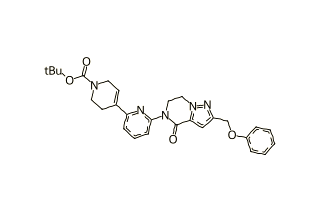 CC(C)(C)OC(=O)N1CC=C(c2cccc(N3CCn4nc(COc5ccccc5)cc4C3=O)n2)CC1